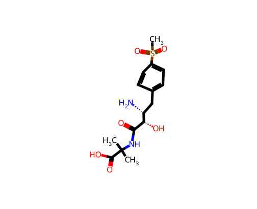 CC(C)(NC(=O)[C@@H](O)[C@H](N)Cc1ccc(S(C)(=O)=O)cc1)C(=O)O